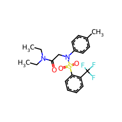 CCN(CC)C(=O)CN(c1ccc(C)cc1)S(=O)(=O)c1ccccc1C(F)(F)F